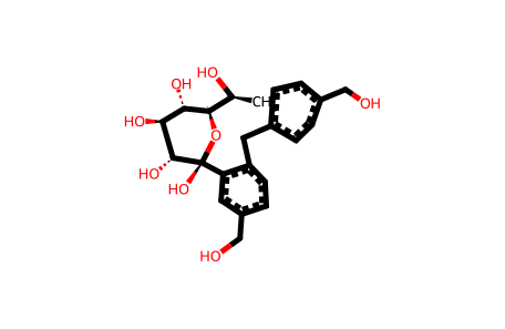 C[C@H](O)[C@H]1O[C@](O)(c2cc(CO)ccc2Cc2ccc(CO)cc2)[C@H](O)[C@@H](O)[C@@H]1O